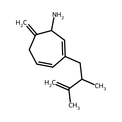 C=C1CC=CC(CC(C)C(=C)C)=CC1N